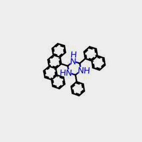 c1ccc(C2NC(c3cccc4ccccc34)NC(c3c4ccccc4cc4ccc5ccccc5c34)N2)cc1